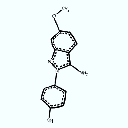 COc1ccc2c(N)n(-c3ccc(O)cc3)nc2c1